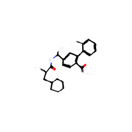 CCC(CC1CCCCC1)C(=O)NC(C)c1ccc(C(=O)OC)c(-c2ccccc2C)c1